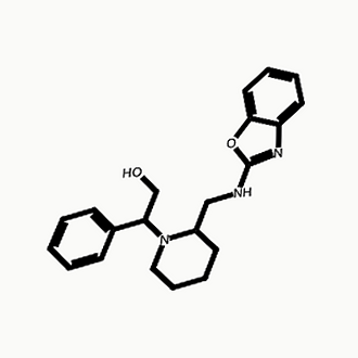 OCC(c1ccccc1)N1CCCCC1CNc1nc2ccccc2o1